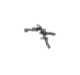 COCCOCCOCC(=O)NCCCC[C@H](NC(=O)COCCOCCOC)C(=O)NC[C@H](C)C(=O)ONC(=O)Cc1ccc(CCCCc2ccccc2)cc1